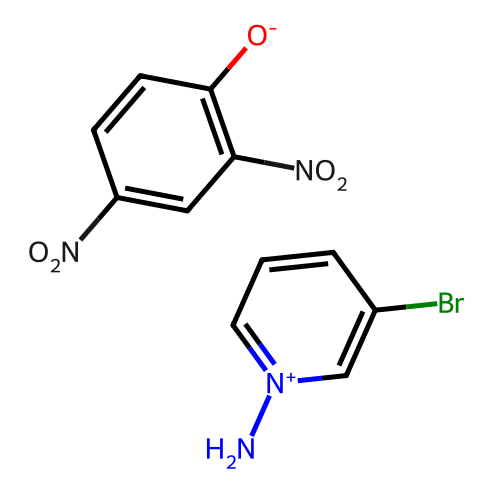 N[n+]1cccc(Br)c1.O=[N+]([O-])c1ccc([O-])c([N+](=O)[O-])c1